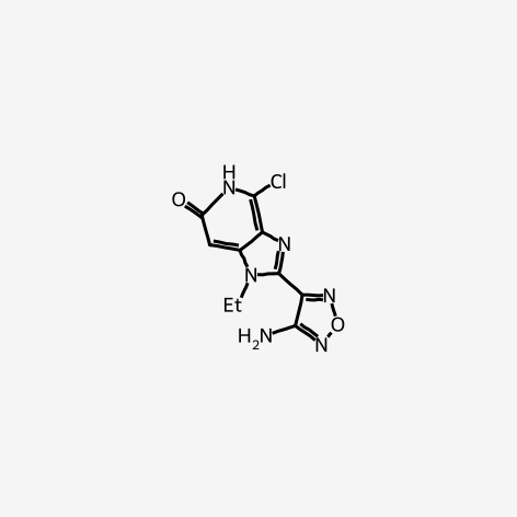 CCn1c(-c2nonc2N)nc2c(Cl)[nH]c(=O)cc21